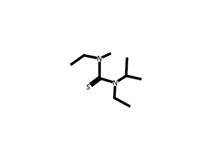 CCN(C)C(=S)N(CC)C(C)C